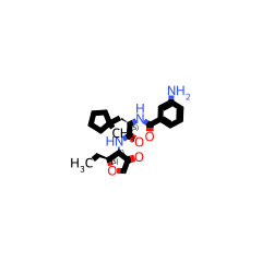 CC[C@@H]1OCC(=O)[C@H]1NC(=O)[C@H](CC1(C)CCCC1)NC(=O)c1cccc(N)c1